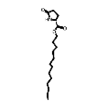 CCCCCCCCCCCCCOC(=O)[C@@H]1CCC(=O)N1